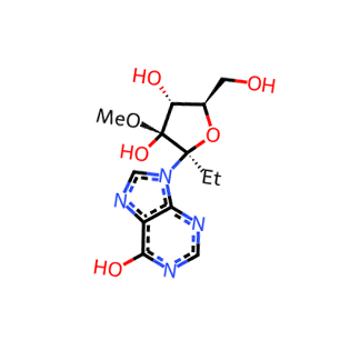 CC[C@@]1(n2cnc3c(O)ncnc32)O[C@H](CO)[C@@H](O)[C@]1(O)OC